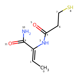 C/C=C(\NC(=O)CCS)C(N)=O